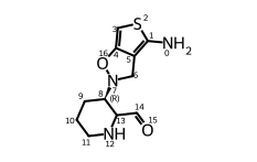 Nc1scc2c1CN([C@@H]1CCCNC1C=O)O2